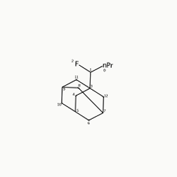 CCCC(F)C12CC3CC(CC(C3)C1)C2